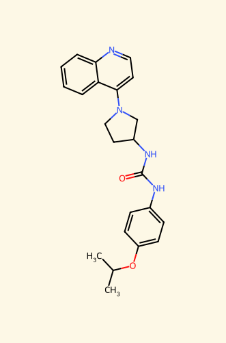 CC(C)Oc1ccc(NC(=O)NC2CCN(c3ccnc4ccccc34)C2)cc1